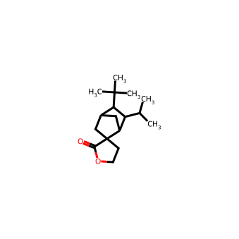 CC(C)C1C(C(C)(C)C)C2CC1C1(CCOC1=O)C2